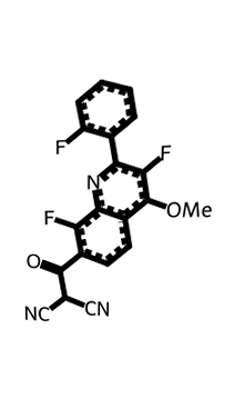 COc1c(F)c(-c2ccccc2F)nc2c(F)c(C(=O)C(C#N)C#N)ccc12